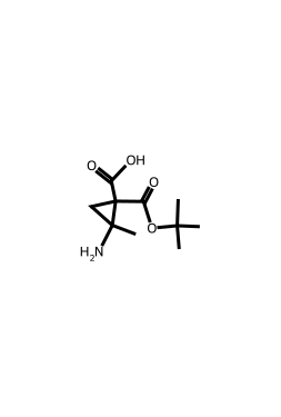 CC(C)(C)OC(=O)C1(C(=O)O)CC1(C)N